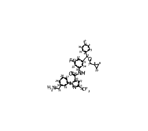 Cc1ccc(C(OCC2CC2)c2cc(F)cc(NC(=O)c3cc(C(F)(F)F)nn3-c3cccc(CN)c3)c2)cc1